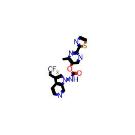 Cc1nc(-c2nccs2)ncc1OC(=O)Nn1cc(CC(F)(F)F)c2ccncc21